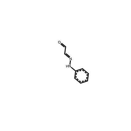 O=C/C=N/Nc1ccccc1